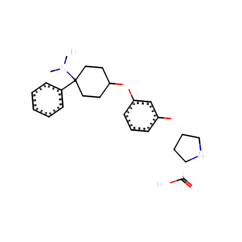 CN(C)C1(c2ccccc2)CCC(Oc2cccc(O[C@@H]3CN[C@H](C(=O)O)C3)c2)CC1